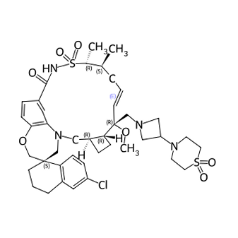 CO[C@@]1(CN2CC(N3CCS(=O)(=O)CC3)C2)/C=C/C[C@H](C)[C@@H](C)S(=O)(=O)NC(=O)c2ccc3c(c2)N(C[C@@H]2CC[C@H]21)C[C@@]1(CCCc2cc(Cl)ccc21)CO3